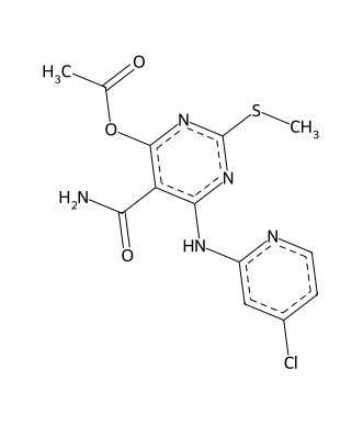 CSc1nc(Nc2cc(Cl)ccn2)c(C(N)=O)c(OC(C)=O)n1